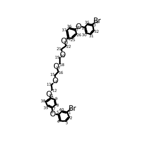 Brc1cccc(Oc2ccc(OCCOCCOCCOCCOc3ccc(Oc4cccc(Br)c4)cc3)cc2)c1